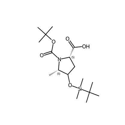 C[C@H]1C(O[Si](C)(C)C(C)(C)C)C[C@@H](C(=O)O)N1C(=O)OC(C)(C)C